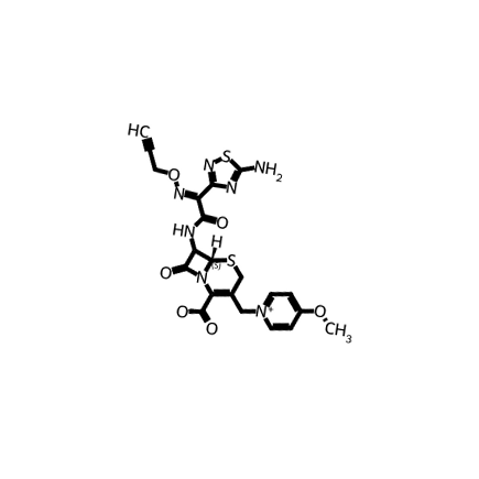 C#CCON=C(C(=O)NC1C(=O)N2C(C(=O)[O-])=C(C[n+]3ccc(OC)cc3)CS[C@@H]12)c1nsc(N)n1